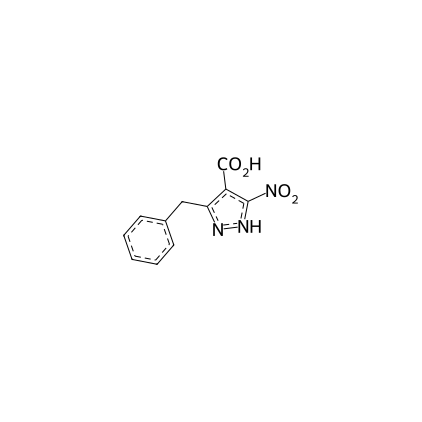 O=C(O)c1c(Cc2ccccc2)n[nH]c1[N+](=O)[O-]